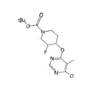 Cc1c(Cl)ncnc1OC1CCN(C(=O)OC(C)(C)C)CC1F